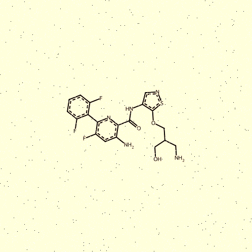 NCC(CO)COc1sncc1NC(=O)c1nc(-c2c(F)cccc2F)c(F)cc1N